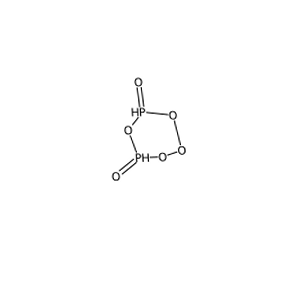 O=[PH]1OOO[PH](=O)O1